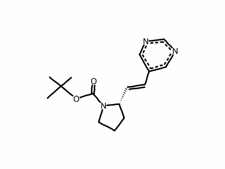 CC(C)(C)OC(=O)N1CCC[C@H]1/C=C/c1cncnc1